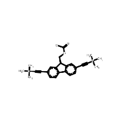 C[Si](C)(C)C#Cc1ccc2c(c1)C(COC(=O)Cl)c1cc(C#C[Si](C)(C)C)ccc1-2